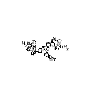 CCCOc1cccc(C2Oc3cc(-c4cnc([C@@H]5CCCN5C(O)[C@@H](N)C(C)C)[nH]4)ccc3-c3cc4cc(-c5cnc([C@@H]6CCCN6C(=O)[C@@H](N)C(C)C)[nH]5)ccc4n32)c1